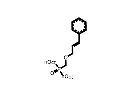 CCCCCCCCP(=O)(CCCCCCCC)COCC=Cc1ccccc1